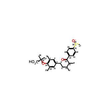 Cc1cc(CCC(C)C(C)C(=O)c2ccc([S+](C)[O-])cc2)cc(C)c1OC(C)(C)C(=O)O